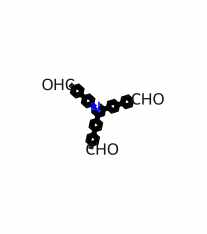 O=Cc1ccc(-c2ccc(C3=CN(c4ccc(-c5ccc(C=O)cc5)cc4)CC(c4ccc(-c5ccc(C=O)cc5)cc4)=C3)cc2)cc1